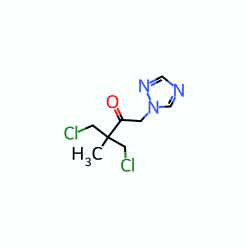 CC(CCl)(CCl)C(=O)Cn1cncn1